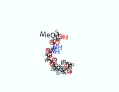 C=C(O)C(OC)C(C)(C)OC(=O)NCNC(=O)O[C@@]1(C)CC1C(=O)OC(C)(C)C(C)(C)C(C)(C)CC(C)(C)C(=O)OC(C)(C)C(C)C